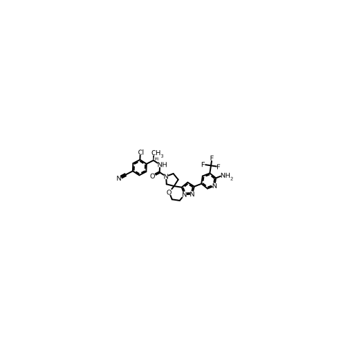 C[C@@H](NC(=O)N1CCC2(C1)OCCn1nc(-c3cnc(N)c(C(F)(F)F)c3)cc12)c1ccc(C#N)cc1Cl